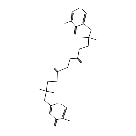 CC(C)(CCC(=O)CCC(=O)CCC(C)(C)Cc1cocc(O)c1=O)Cc1cc(=O)c(O)co1